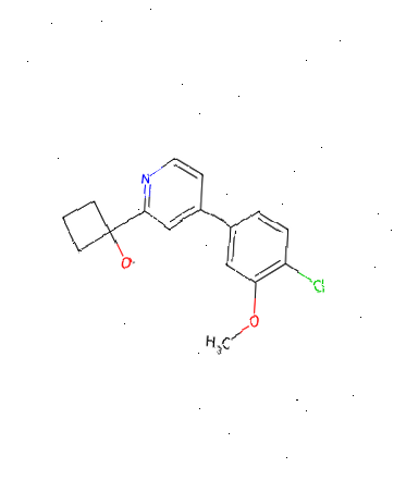 COc1cc(-c2ccnc(C3([O])CCC3)c2)ccc1Cl